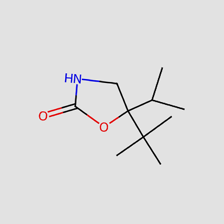 CC(C)C1(C(C)(C)C)CNC(=O)O1